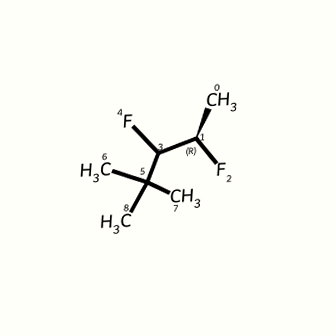 C[C@@H](F)C(F)C(C)(C)C